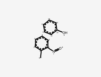 Cc1ccccc1N=O.Oc1ccccc1